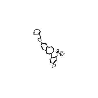 COc1ccc(C2=Cc3ccc(OCc4ccccc4)cc3CCC2)c([N+](=O)[O-])c1